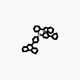 c1ccc(-c2ccc(N(c3ccc(-c4cc5ccccc5c5ccccc45)cc3)c3ccccc3-c3cc4ccccc4o3)cc2)cc1